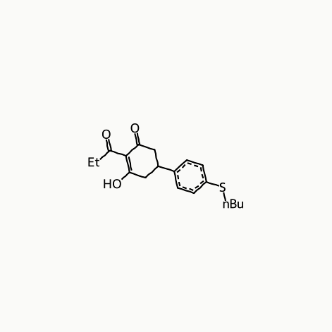 CCCCSc1ccc(C2CC(=O)C(C(=O)CC)=C(O)C2)cc1